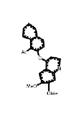 COc1cc2nccc(Oc3ccc4ccccc4c3C(C)=O)c2cc1OC